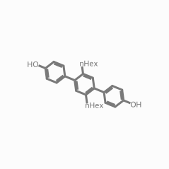 CCCCCCc1cc(-c2ccc(O)cc2)c(CCCCCC)cc1-c1ccc(O)cc1